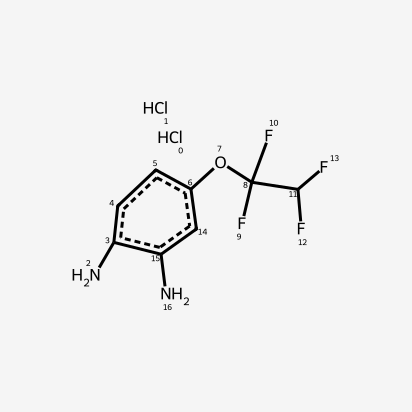 Cl.Cl.Nc1ccc(OC(F)(F)C(F)F)cc1N